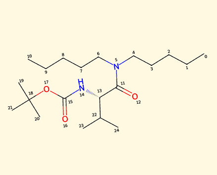 CCCCCN(CCCCC)C(=O)[C@@H](NC(=O)OC(C)(C)C)C(C)C